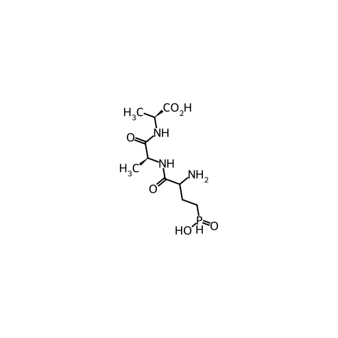 C[C@H](NC(=O)[C@H](C)NC(=O)C(N)CC[PH](=O)O)C(=O)O